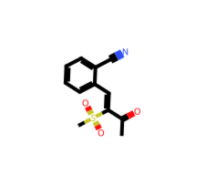 CC(=O)C(=Cc1ccccc1C#N)S(C)(=O)=O